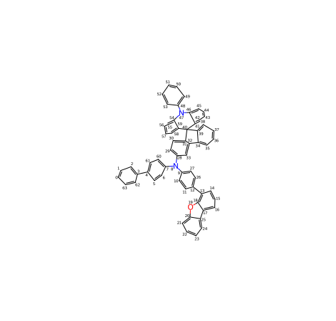 c1ccc(-c2ccc(N(c3ccc(-c4cccc5c4oc4ccccc45)cc3)c3ccc4c(c3)-c3ccccc3C43c4ccccc4N(c4ccccc4)c4ccccc43)cc2)cc1